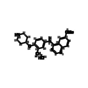 COc1ccc2ncnc(Nc3ccc(OC4CCNCC4)c(C)c3)c2c1.Cl